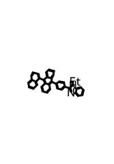 CCn1c(-c2ccc(-c3c4ccccc4c(-c4cccc5ccccc45)c4ccccc34)cc2)nc2ccccc21